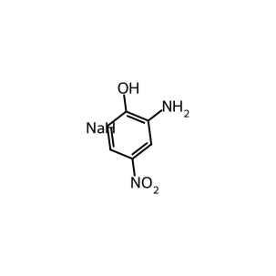 Nc1cc([N+](=O)[O-])ccc1O.[NaH]